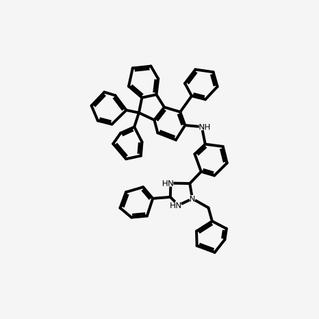 c1ccc(CN2NC(c3ccccc3)NC2c2cccc(Nc3ccc4c(c3-c3ccccc3)-c3ccccc3C4(c3ccccc3)c3ccccc3)c2)cc1